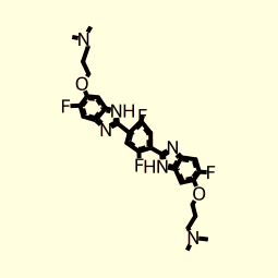 CN(C)CCCOc1cc2[nH]c(-c3cc(F)c(-c4nc5cc(F)c(OCCCN(C)C)cc5[nH]4)cc3F)nc2cc1F